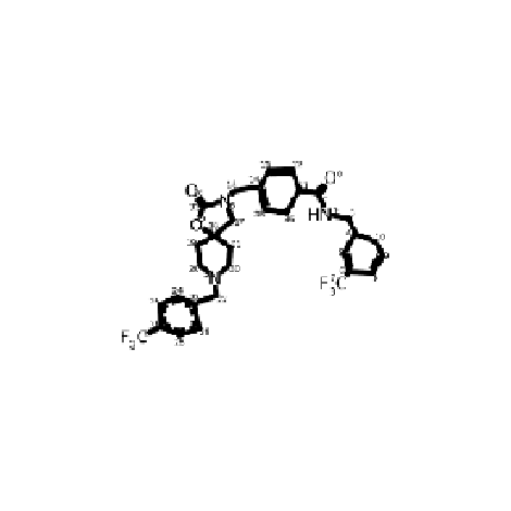 O=C(NCC1C=C(C(F)(F)F)C=CC1)C1C=CC(CN2CC3(CCN(Cc4ccc(C(F)(F)F)cc4)CC3)OC2=O)=CC1